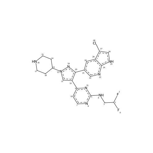 FC(F)CNc1nccc(-c2cn(C3CCNCC3)nc2-c2cnc3[nH]cc(Cl)c3c2)n1